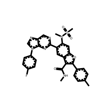 CNC(=O)c1c(-c2ccc(C)cc2)oc2cc(N(C)S(C)(=O)=O)c(-c3ncc4ncn(-c5ccc(F)cc5)c4n3)cc12